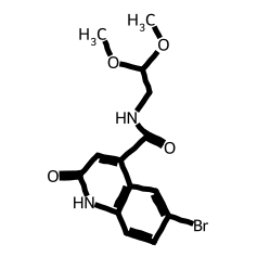 COC(CNC(=O)c1cc(=O)[nH]c2ccc(Br)cc12)OC